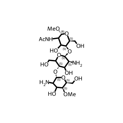 CO[C@@H]1O[C@@H](CO)[C@@H](O[C@@H]2OC(CO)[C@@H](O[C@@H]3O[C@@H](CO)[C@@H](OC)C(O)C3N)C(O)[C@@H]2N)C(O)C1NC(C)=O